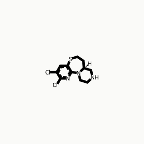 Clc1cc2c(nc1Cl)N1CCNC[C@@H]1CCS2